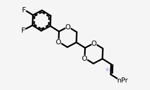 CCC/C=C/C1COC(C2COC(c3ccc(F)c(F)c3)OC2)OC1